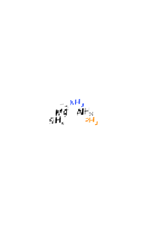 N.P.[AlH3].[MgH2].[SiH4]